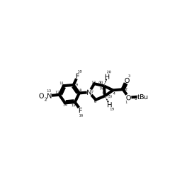 CC(C)(C)OC(=O)C1[C@H]2CN(c3c(F)cc([N+](=O)[O-])cc3F)C[C@@H]12